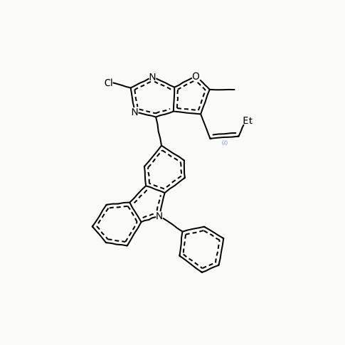 CC/C=C\c1c(C)oc2nc(Cl)nc(-c3ccc4c(c3)c3ccccc3n4-c3ccccc3)c12